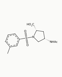 CC(=O)N[C@H]1C[C@@H](C(=O)O)N(S(=O)(=O)c2cc[c]c(C)c2)C1